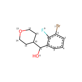 OC(c1cccc(Br)c1F)C1CCOCC1